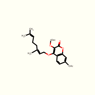 CCCCCCCCCCOc1c(OCC=C(C)CCC=C(C)C)c2ccc(OC(C)=O)cc2oc1=O